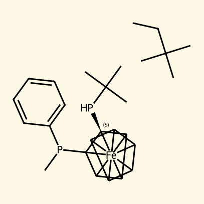 CCC(C)(C)C.CP(c1ccccc1)[C]12[CH]3[CH]4[CH]5[C@]1(PC(C)(C)C)[Fe]43521678[CH]2[CH]1[CH]6[CH]7[CH]28